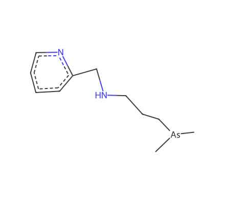 C[As](C)CCCNCc1ccccn1